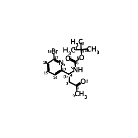 CC(=O)C[C@H](NC(=O)OC(C)(C)C)c1cccc(Br)n1